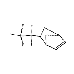 CC(F)(F)C(F)(F)C1CC2C=CC1C2